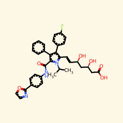 CC(C)n1c(/C=C/[C@@H](O)C[C@@H](O)CC(=O)O)c(-c2ccc(F)cc2)c(-c2ccccc2)c1C(=O)Nc1ccc(-c2ncco2)cc1